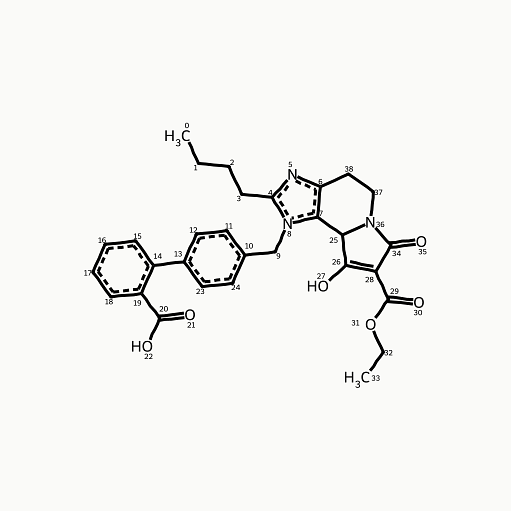 CCCCc1nc2c(n1Cc1ccc(-c3ccccc3C(=O)O)cc1)C1C(O)=C(C(=O)OCC)C(=O)N1CC2